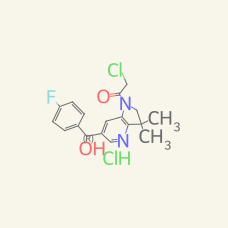 CC1(C)CN(C(=O)CCl)c2cc([C@H](O)c3ccc(F)cc3)cnc21.Cl